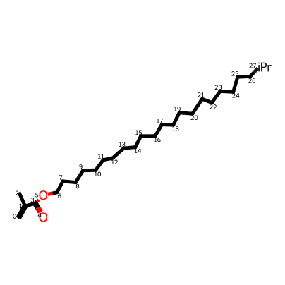 C=C(C)C(=O)OCCCCCCCCCCCCCCCCCCCCCC(C)C